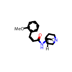 COc1ccccc1/C=C\C(=O)N[C@H]1CN2CCC1CC2